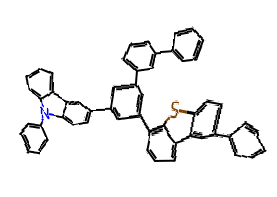 c1ccc(-c2cccc(-c3cc(-c4ccc5c(c4)c4ccccc4n5-c4ccccc4)cc(-c4cccc5c4sc4ccc(-c6ccccc6)cc45)c3)c2)cc1